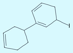 IC1C=C(C2CC=CCC2)C=CC1